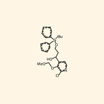 COCOc1c(C(O)CCO[Si](c2ccccc2)(c2ccccc2)C(C)(C)C)ccnc1Cl